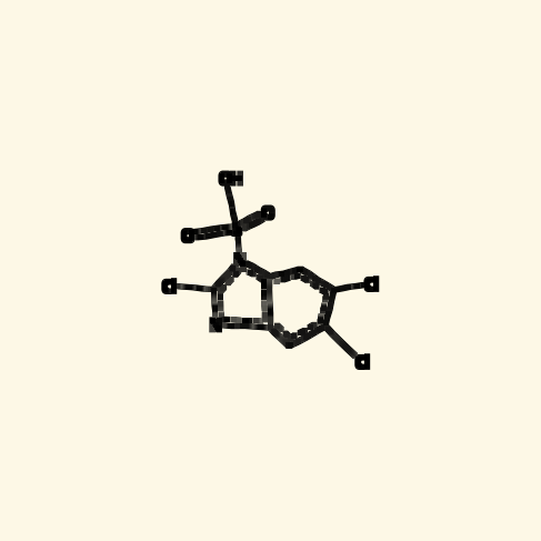 O=S(=O)(O)n1c(Cl)nc2cc(Cl)c(Cl)cc21